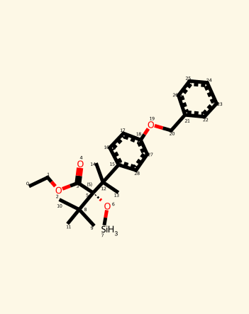 CCOC(=O)[C@](O[SiH3])(C(C)(C)C)C(C)(C)c1ccc(OCc2ccccc2)cc1